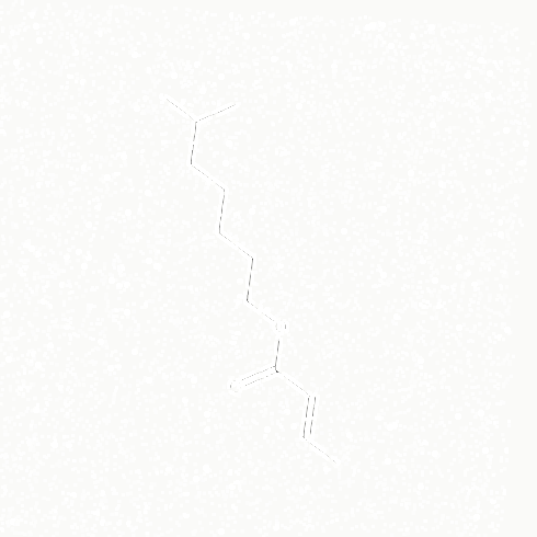 C/C=C/C(=O)OCCCCCC(C)C